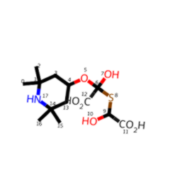 CC1(C)CC(OC(O)(SC(O)C(=O)O)C(=O)O)CC(C)(C)N1